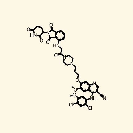 COc1cc(Nc2c(C#N)cnc3cc(OCCCN4CCN(C(=O)CNc5cccc6c5C(=O)N(C5CCC(=O)NC5=O)C6=O)CC4)c(OC)cc23)c(Cl)cc1Cl